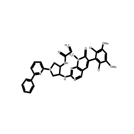 C=CC(=O)NC1CN(c2cccc(-c3ccccc3)n2)CC1Nc1ncc2cc(-c3c(Cl)c(OC)cc(OC)c3Cl)c(=O)n(C)c2n1